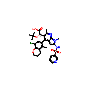 Cc1nc2c(cc(NS(=O)(=O)c3cccnc3)n2C)c(-c2cc(F)c3c(c2C)CCCO3)c1[C@H](OC(C)(C)C)C(=O)O